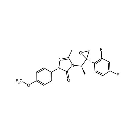 Cc1nn(-c2ccc(OC(F)(F)F)cc2)c(=O)n1[C@H](C)[C@]1(c2ccc(F)cc2F)CO1